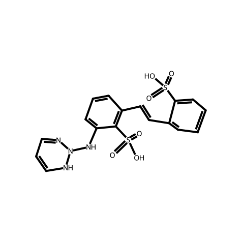 O=S(=O)(O)c1ccccc1C=Cc1cccc(NN2N=CC=CN2)c1S(=O)(=O)O